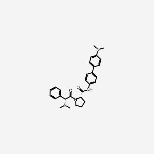 CN(C)c1ccc(-c2ccc(NC(=O)[C@@H]3CCCN3C(=O)[C@@H](c3ccccc3)N(C)C)cc2)cc1